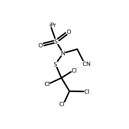 CC(C)S(=O)(=O)N(CC#N)SC(Cl)(Cl)C(Cl)Cl